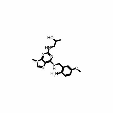 COc1ccc(N)c(CNc2nc(NCC(C)O)nc3c2ncn3C)c1